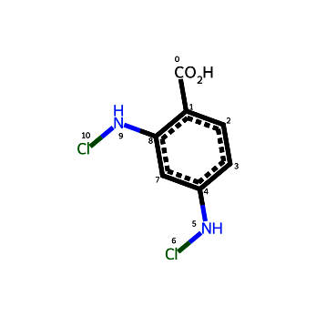 O=C(O)c1ccc(NCl)cc1NCl